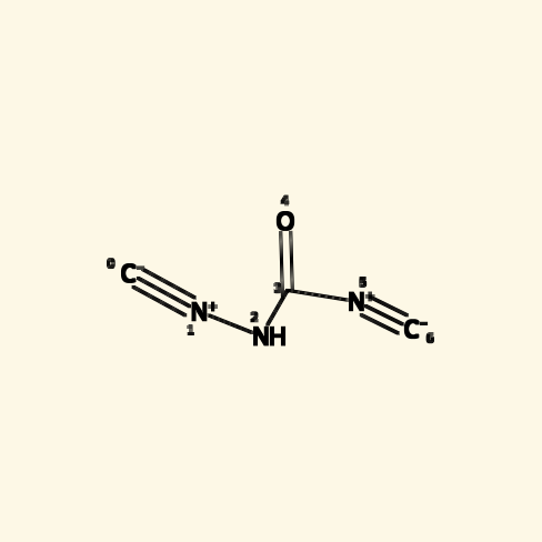 [C-]#[N+]NC(=O)[N+]#[C-]